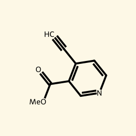 C#Cc1ccncc1C(=O)OC